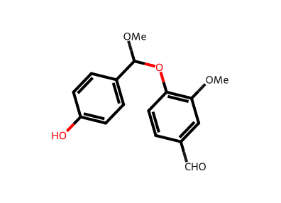 COc1cc(C=O)ccc1OC(OC)c1ccc(O)cc1